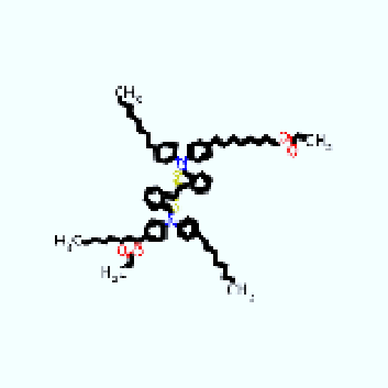 C=CC(=O)OCCCCCCCCc1ccc(N(c2ccc(CCCCCCCC)cc2)c2sc(-c3sc(N(c4ccc(CCCCCCCC)cc4)c4ccc(C(CCCCCCC)OC(=O)C=C)cc4)c4ccccc34)c3ccccc23)cc1